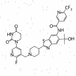 CC(C)(O)c1cc2nc(C3CCN(Cc4cc(N5CCC(=O)NC5=O)cnc4F)CC3)sc2cc1NC(=O)c1ccc(C(F)(F)F)nc1